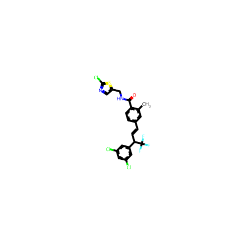 Cc1cc(/C=C/C(c2cc(Cl)cc(Cl)c2)C(F)(F)F)ccc1C(=O)NCc1cnc(Cl)s1